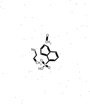 C=C[CH2][Na].C=O.O=S(=O)(O)c1cccc2ccccc12